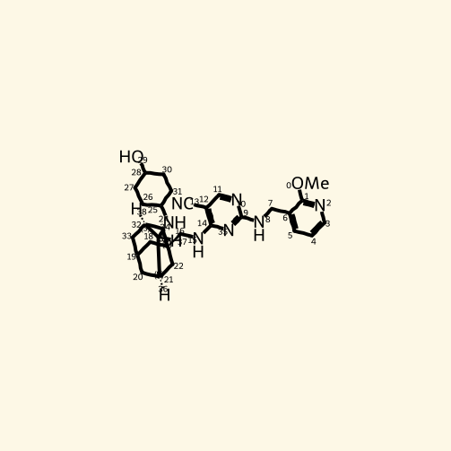 COc1ncccc1CNc1ncc(C#N)c(NC[C@]23CC4C[C@H](C2)[C@@H](NC2CCC(O)CC2)[C@@H](C4)C3)n1